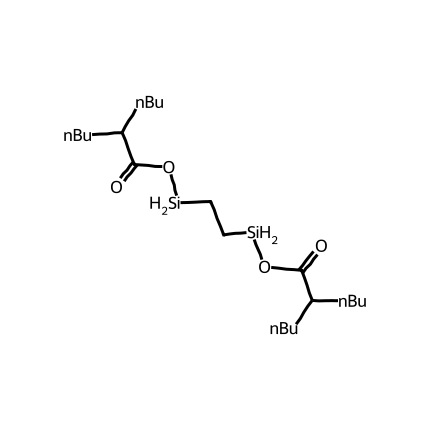 CCCCC(CCCC)C(=O)O[SiH2]CC[SiH2]OC(=O)C(CCCC)CCCC